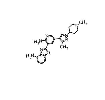 Cc1nn(C2CCN(C)CC2)cc1-c1cnc(N)c(-c2nc3c(N)cccc3o2)c1